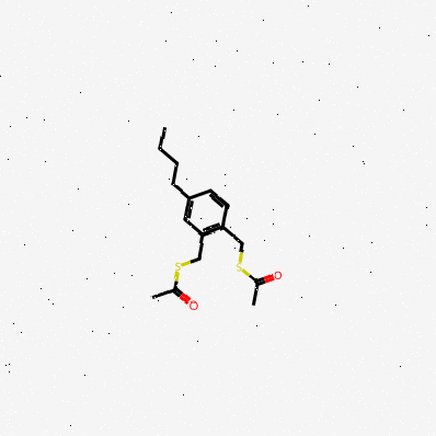 CCCCc1ccc(CSC(C)=O)c(CSC(C)=O)c1